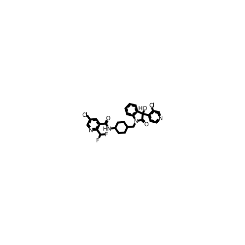 O=C(NC1CCC(CN2C(=O)C(O)(c3ccncc3Cl)c3ccccc32)CC1)c1cc(Cl)cnc1C(F)F